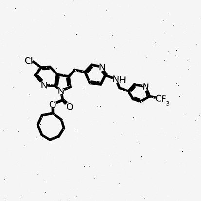 O=C(OC1CCCCCCC1)n1cc(Cc2ccc(NCc3ccc(C(F)(F)F)nc3)nc2)c2cc(Cl)cnc21